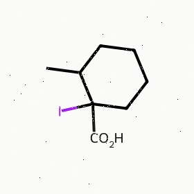 CC1CCCCC1(I)C(=O)O